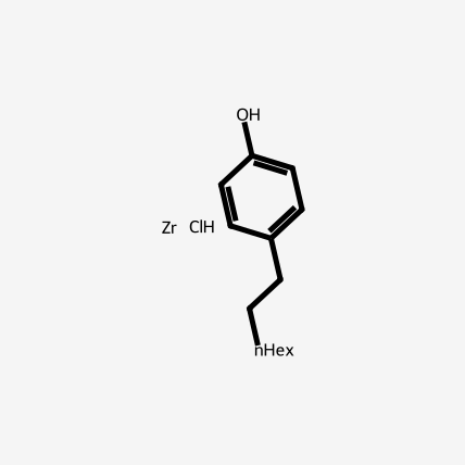 CCCCCCCCc1ccc(O)cc1.Cl.[Zr]